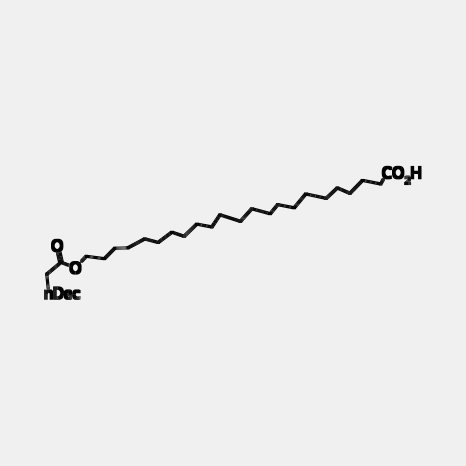 CCCCCCCCCCCC(=O)OCCCCCCCCCCCCCCCCCCCCCCC(=O)O